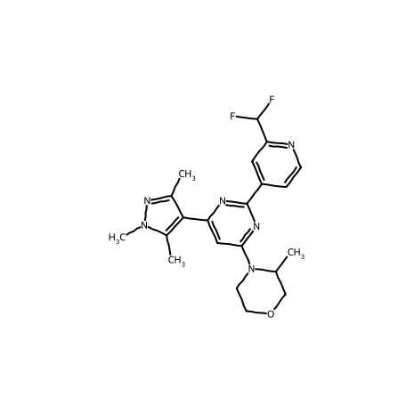 Cc1nn(C)c(C)c1-c1cc(N2CCOCC2C)nc(-c2ccnc(C(F)F)c2)n1